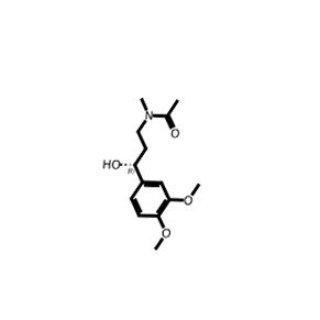 COc1ccc([C@H](O)CCN(C)C(C)=O)cc1OC